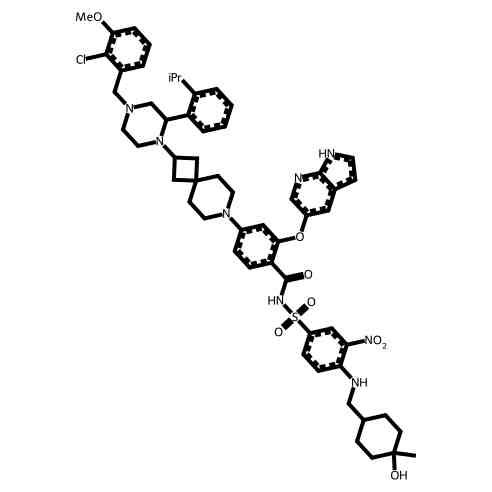 COc1cccc(CN2CCN(C3CC4(CCN(c5ccc(C(=O)NS(=O)(=O)c6ccc(NCC7CCC(C)(O)CC7)c([N+](=O)[O-])c6)c(Oc6cnc7[nH]ccc7c6)c5)CC4)C3)C(c3ccccc3C(C)C)C2)c1Cl